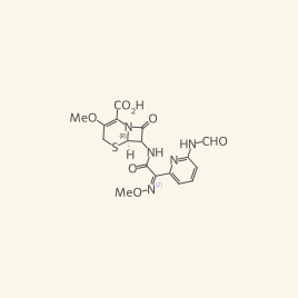 CO/N=C(\C(=O)NC1C(=O)N2C(C(=O)O)=C(OC)CS[C@H]12)c1cccc(NC=O)n1